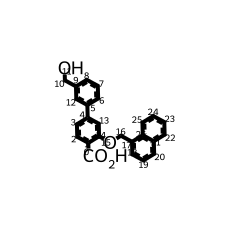 O=C(O)c1ccc(-c2cccc(CO)c2)cc1OCc1cccc2ccccc12